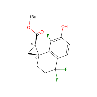 CC(C)(C)OC(=O)[C@@H]1C[C@@]12CCC(F)(F)c1ccc(O)c(F)c12